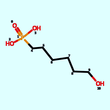 O=P(O)(O)CCCCCCO